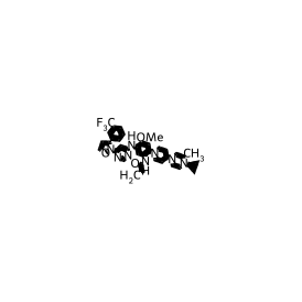 C=CC(=O)Nc1cc(Nc2cc(N3OCC[C@@H]3c3cccc(C(F)(F)F)c3)ncn2)c(OC)cc1N1CCC(N2CCN(C3CC3)[C@H](C)C2)CC1